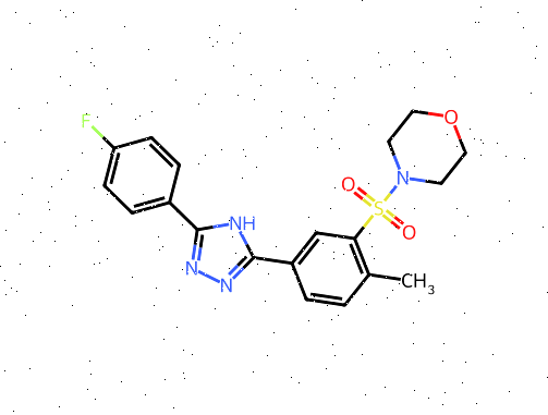 Cc1ccc(-c2nnc(-c3ccc(F)cc3)[nH]2)cc1S(=O)(=O)N1CCOCC1